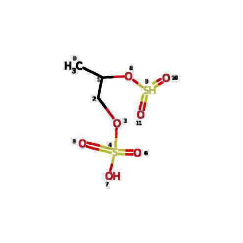 CC(COS(=O)(=O)O)O[SH](=O)=O